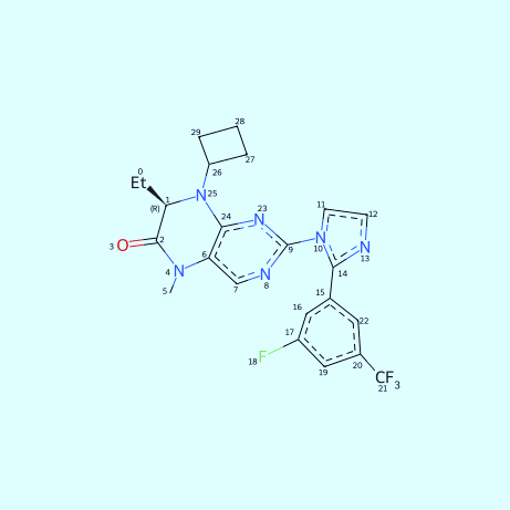 CC[C@@H]1C(=O)N(C)c2cnc(-n3ccnc3-c3cc(F)cc(C(F)(F)F)c3)nc2N1C1CCC1